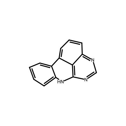 c1ccc2c(c1)Nc1ncnc3cccc-2c13